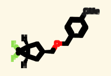 COc1ccc(COC[C@H]2C[C@@H]3[C@H](C2)C3(F)F)cc1